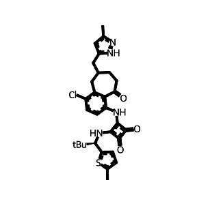 Cc1cc(CC2CCC(=O)c3c(Nc4c(N[C@@H](c5ccc(C)s5)C(C)(C)C)c(=O)c4=O)ccc(Cl)c3C2)[nH]n1